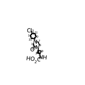 O=C(O)NC12CC(N3CCN(c4ccc(Cl)cc4)CC3=O)(C1)C2